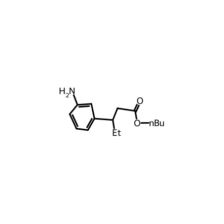 CCCCOC(=O)CC(CC)c1cccc(N)c1